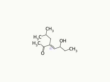 CCC(O)/C=C(\CC(C)C)C(C)=O